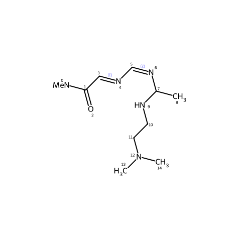 CNC(=O)/C=N/C=N\C(C)NCCN(C)C